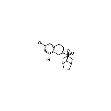 [2H]c1cc(Cl)cc2c1CN(C(=O)N1C3CCC1CC(=O)C3)CC2